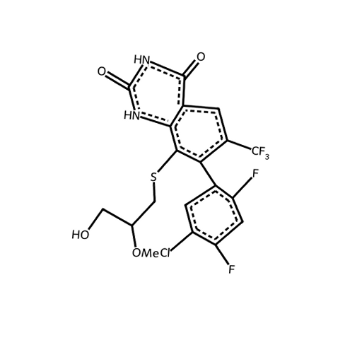 COC(CO)CSc1c(-c2cc(Cl)c(F)cc2F)c(C(F)(F)F)cc2c(=O)[nH]c(=O)[nH]c12